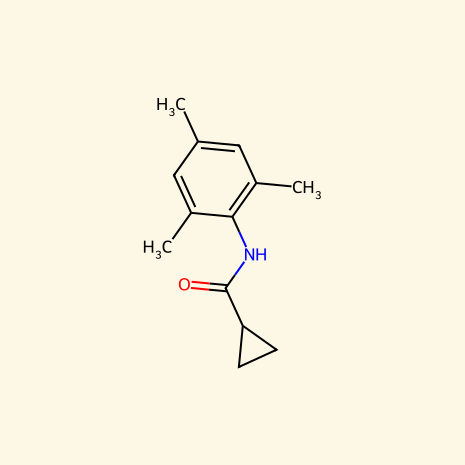 Cc1cc(C)c(NC(=O)C2CC2)c(C)c1